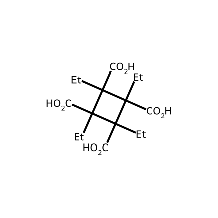 CCC1(C(=O)O)C(CC)(C(=O)O)C(CC)(C(=O)O)C1(CC)C(=O)O